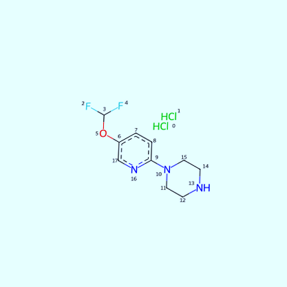 Cl.Cl.FC(F)Oc1ccc(N2CCNCC2)nc1